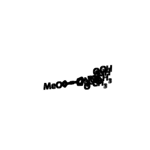 COC1CC(C#Cc2ccc(N3C[C@H](C[C@](C)(C(=O)NO)S(C)(=O)=O)OC3=O)cc2)C1